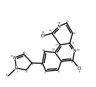 CN1CC(c2ccc3c(Cl)nc4ccnc(Cl)c4c3c2)C=N1